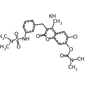 Cc1c(Cc2cccc(NS(=O)(=O)N(C)C)c2)c(=O)oc2cc(OC(=O)N(C)C)c(Cl)cc12.[KH]